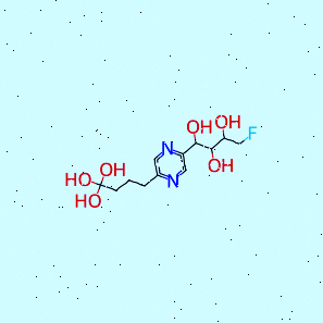 OC(CF)C(O)C(O)c1cnc(CCCC(O)(O)O)cn1